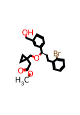 COC(=O)CC1(CO[C@H](CCc2ccccc2Br)c2cccc(CO)c2)CC1